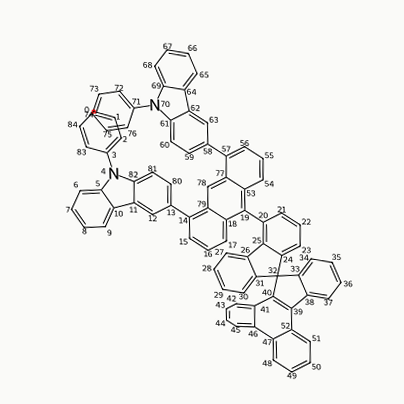 c1ccc(-n2c3ccccc3c3cc(-c4cccc5c(-c6cccc7c6-c6ccccc6C76c7ccccc7-c7c6c6ccccc6c6ccccc76)c6cccc(-c7ccc8c(c7)c7ccccc7n8-c7ccccc7)c6cc45)ccc32)cc1